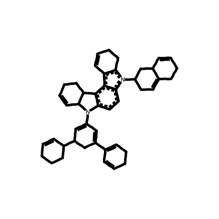 C1=CC(C2=CC(N3c4ccc5c(c6c(n5C5CC=C7CCC=CC7C5)CCC=C6)c4C4CCC=CC43)=CC(C3C=CCCC3)C2)=CCC1